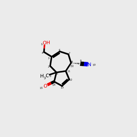 CC12CC(CO)=CC[C@H](C#N)C1C=CC2=O